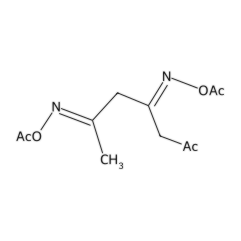 CC(=O)C/C(C/C(C)=N/OC(C)=O)=N\OC(C)=O